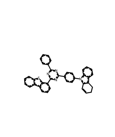 C1=Cc2c(c3ccccc3n2-c2ccc(-c3nc(-c4ccccc4)nc(-c4cccc5c4sc4ccccc45)n3)cc2)CC1